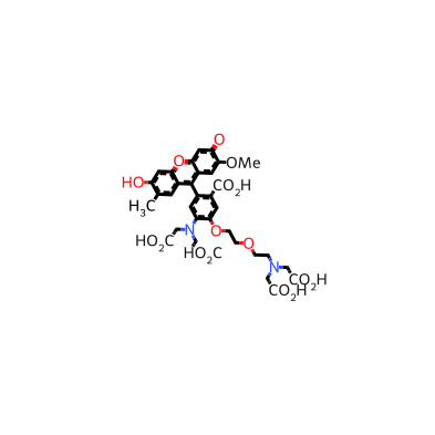 COc1cc2c(-c3cc(N(CC(=O)O)CC(=O)O)c(OCCOCCN(CC(=O)O)CC(=O)O)cc3C(=O)O)c3cc(C)c(O)cc3oc-2cc1=O